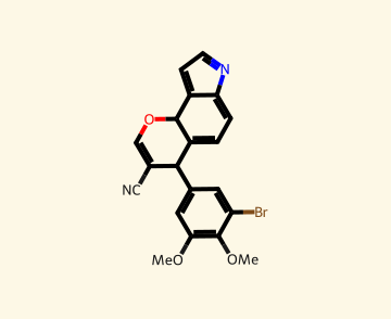 COc1cc(C2C(C#N)=COC3C4=CC=NC4=CC=C32)cc(Br)c1OC